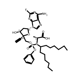 C#C[C@]1(COP(=O)(Oc2ccccc2)N(C(CCCCCC)CCCCCC)[C@@H](C)C(=O)O)O[C@@H](n2cnc3c(N)nc(F)nc32)C[C@@H]1O